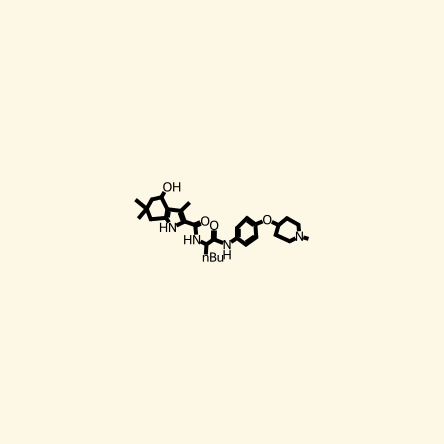 CCCCC(NC(=O)c1[nH]c2c(c1C)C(O)CC(C)(C)C2)C(=O)Nc1ccc(OC2CCN(C)CC2)cc1